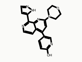 Oc1ccc(-c2cc(N3CCOCC3)nc3c(-c4ccn[nH]4)nccc23)cn1